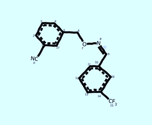 N#Cc1cccc(CO/N=[C]\c2cccc(C(F)(F)F)c2)c1